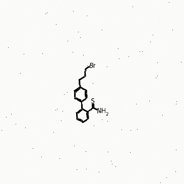 NC(=S)c1ccccc1-c1ccc(CCCBr)cc1